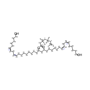 CN(C)CC(C)(C)CC(C)(C)CC(=O)OC(CCCCCCCC/C=C\C/C=C\CCCCCO)CCCCCCCC/C=C\C/C=C\CCCCCO